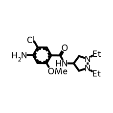 CCN1CC(NC(=O)c2cc(Cl)c(N)cc2OC)CN1CC